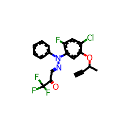 C#CC(C)Oc1cc(N(N=CC(=O)C(F)(F)F)c2ccccc2)c(F)cc1Cl